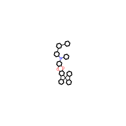 c1ccc(-c2cccc(-c3cccc(N(c4ccccc4)c4ccc5c(c4)Oc4cc6c(cc4O5)-c4ccccc4C64c5ccccc5-c5ccccc54)c3)c2)cc1